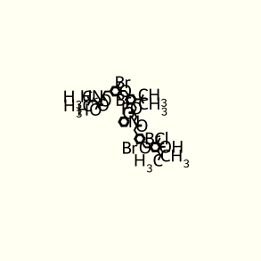 CC(C)c1cc(Oc2c(Br)cc(CC(=O)N(CC(=O)Oc3c(F)cc(Oc4c(Br)cc(CC(=O)N[C@H](C(=O)O)C(C)C)cc4Br)cc3C(C)C)c3ccccc3)cc2Br)cc(Cl)c1O